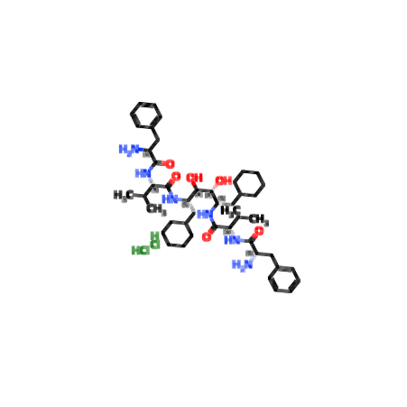 CC(C)[C@H](NC(=O)[C@@H](N)Cc1ccccc1)C(=O)N[C@@H](CC1CCCCC1)[C@@H](O)[C@H](O)[C@H](CC1CCCCC1)NC(=O)[C@@H](NC(=O)[C@@H](N)Cc1ccccc1)C(C)C.Cl.Cl